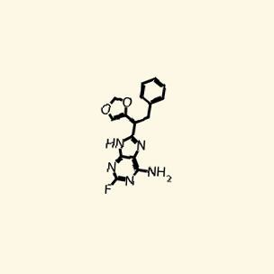 Nc1nc(F)nc2[nH]c(C(Cc3ccccc3)C3=COCO3)nc12